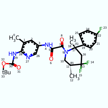 Cc1cc(NC(=O)C(=O)N2C[C@@H](C)C(F)(F)C[C@@]2(C)c2ccc(F)cc2)cnc1NC(=O)OC(C)(C)C